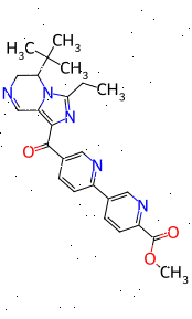 CCc1nc(C(=O)c2ccc(-c3ccc(C(=O)OC)nc3)nc2)c2n1C(C(C)(C)C)CN=C2